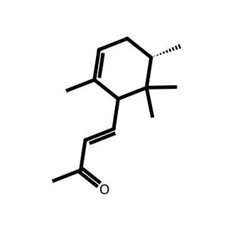 CC(=O)C=CC1C(C)=CC[C@H](C)C1(C)C